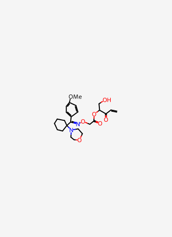 C=CC(=O)C(CO)OC(=O)CON=C(c1ccc(OC)cc1)C1(N2CCOCC2)CCCCC1